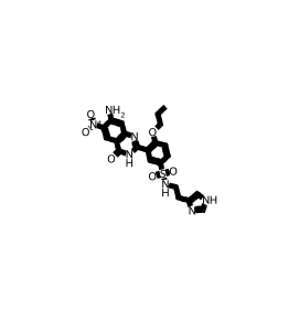 CCCOc1ccc(S(=O)(=O)NCCc2c[nH]cn2)cc1-c1nc2cc(N)c([N+](=O)[O-])cc2c(=O)[nH]1